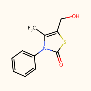 O=c1sc(CO)c(C(F)(F)F)n1-c1ccccc1